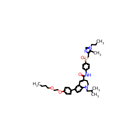 CCCCOCCOc1ccc(-c2ccc3c(c2)C=C(C(=O)Nc2ccc([S+]([O-])Cc4ncn(CCC)c4C)cc2)CCN3CC(C)C)cc1